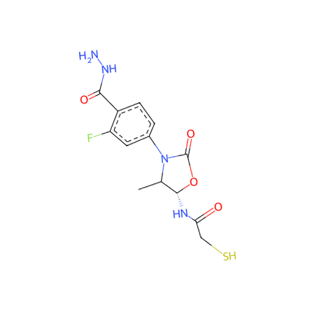 CC1[C@@H](NC(=O)CS)OC(=O)N1c1ccc(C(=O)NN)c(F)c1